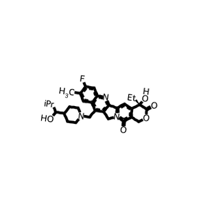 CC[C@@]1(O)C(=O)OCc2c1cc1n(c2=O)Cc2c-1nc1cc(F)c(C)cc1c2CN1CCC(C(O)C(C)C)CC1